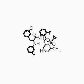 C[C@H]1CNC[C@H](CCc2c(F)cccc2NC(=O)[C@H](Cc2cccc(Cl)c2)Nc2cccc(F)c2)N1S(=O)(=O)C1CC1